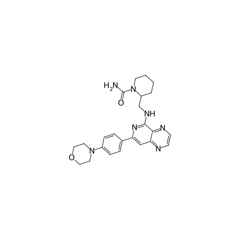 NC(=O)N1CCCCC1CNc1nc(-c2ccc(N3CCOCC3)cc2)cc2nccnc12